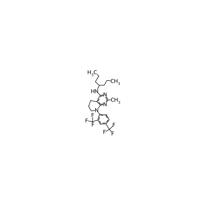 CCCC(CCC)Nc1nc(C)nc2c1CCCN2c1ccc(C(F)(F)F)cc1C(F)(F)F